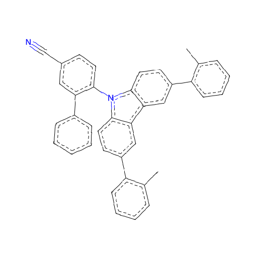 Cc1ccccc1-c1ccc2c(c1)c1cc(-c3ccccc3C)ccc1n2-c1ccc(C#N)cc1-c1ccccc1